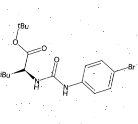 CC[C@H](C)[C@H](NC(=O)Nc1ccc(Br)cc1)C(=O)OC(C)(C)C